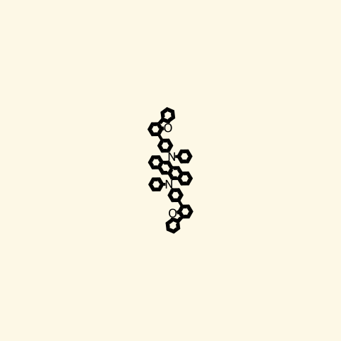 c1ccc(N(c2ccc(-c3cccc4c3oc3ccccc34)cc2)c2c3ccccc3cc3c(N(c4ccccc4)c4ccc(-c5cccc6c5oc5ccccc56)cc4)c4ccccc4cc23)cc1